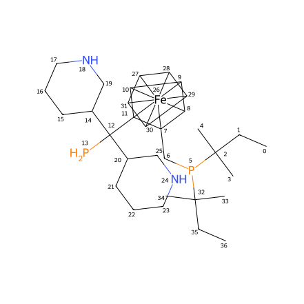 CCC(C)(C)P(C[C]12[CH]3[CH]4[CH]5[C]1(C(P)(C1CCCNC1)C1CCCNC1)[Fe]43521678[CH]2[CH]1[CH]6[CH]7[CH]28)C(C)(C)CC